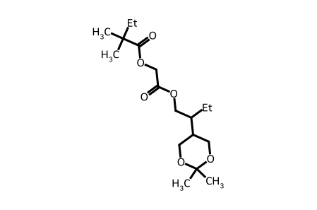 CCC(COC(=O)COC(=O)C(C)(C)CC)C1COC(C)(C)OC1